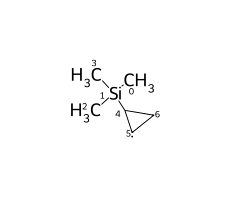 C[Si](C)(C)C1[CH]C1